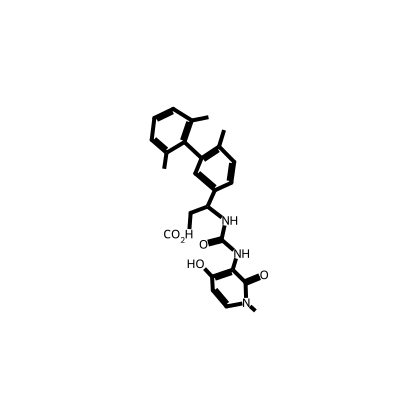 Cc1ccc(C(CC(=O)O)NC(=O)Nc2c(O)ccn(C)c2=O)cc1-c1c(C)cccc1C